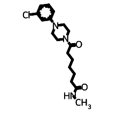 CNC(=O)CCCCCC(=O)N1CCN(c2cccc(Cl)c2)CC1